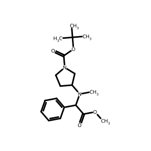 COC(=O)C(c1ccccc1)N(C)C1CCN(C(=O)OC(C)(C)C)C1